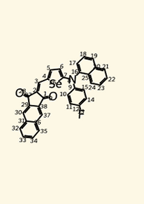 O=C1C(=Cc2ccc(N(c3ccc(F)cc3)c3cccc4ccccc34)[se]2)C(=O)c2cc3ccccc3cc21